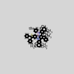 CC(C)(C)c1ccc(Nc2cc3c(cc2-c2c4c(c5c6cc7c(cc6n6c5c2Bc2cc5sc(-c8ccccc8)c(-c8ccccc8)c5cc2-6)C(C)(C)CCC7(C)C)-c2ccccc2C4(C)C)C(C)(C)CCC3(C)C)cc1